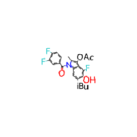 CC[C@@H](C)c1cc2c(c(F)c1O)c(OC(C)=O)c(C)n2C(=O)c1ccc(F)c(F)c1